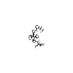 CCOS(=O)(=O)OCC(F)F